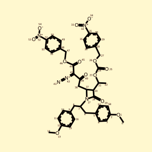 COc1ccc(CC(Cc2ccc(OC)cc2)N2C(=O)C(C(C)OC(=O)OCc3ccc([N+](=O)[O-])cc3)C2CC(=O)C(=[N+]=[N-])C(=O)OCc2ccc([N+](=O)[O-])cc2)cc1